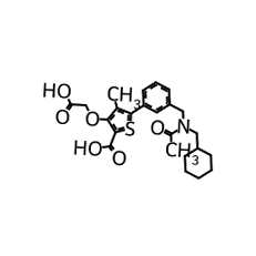 CC(=O)N(Cc1cccc(-c2sc(C(=O)O)c(OCC(=O)O)c2C)c1)CC1CCCCC1